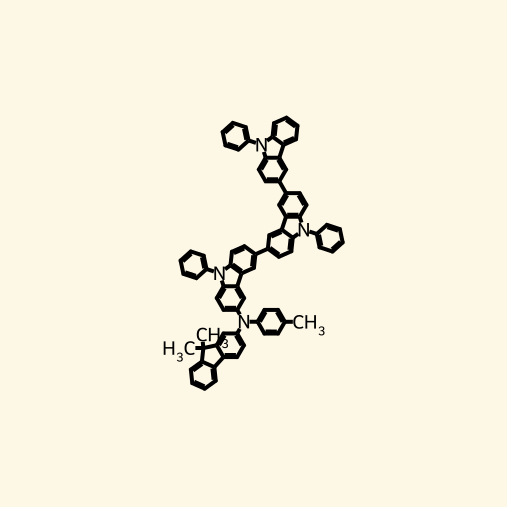 Cc1ccc(N(c2ccc3c(c2)C(C)(C)c2ccccc2-3)c2ccc3c(c2)c2cc(-c4ccc5c(c4)c4cc(-c6ccc7c(c6)c6ccccc6n7-c6ccccc6)ccc4n5-c4ccccc4)ccc2n3-c2ccccc2)cc1